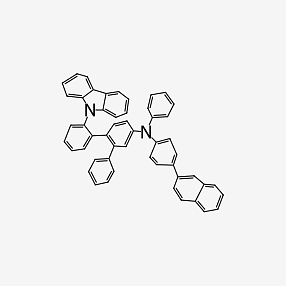 c1ccc(-c2cc(N(c3ccccc3)c3ccc(-c4ccc5ccccc5c4)cc3)ccc2-c2ccccc2-n2c3ccccc3c3ccccc32)cc1